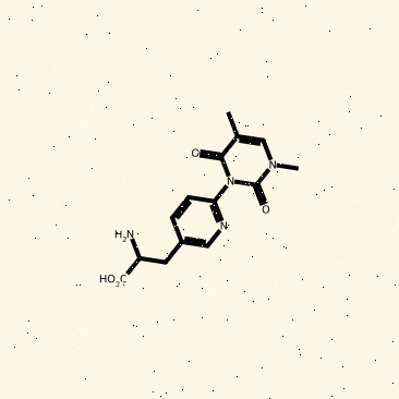 Cc1cn(C)c(=O)n(-c2ccc(CC(N)C(=O)O)cn2)c1=O